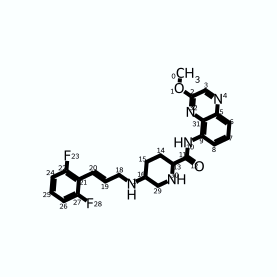 COc1cnc2cccc(NC(=O)C3CCC(NCC=Cc4c(F)cccc4F)CN3)c2n1